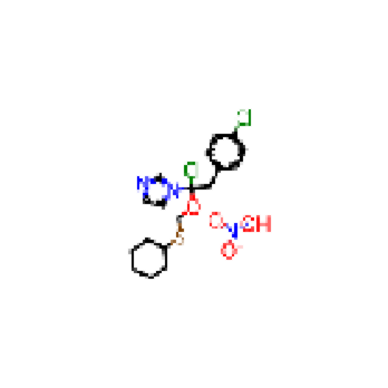 Clc1ccc(CC(Cl)(OCSC2CCCCC2)n2ccnc2)cc1.O=[N+]([O-])O